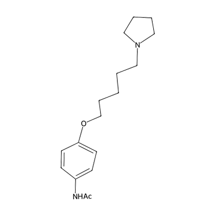 CC(=O)Nc1ccc(OCCCCCN2CCCC2)cc1